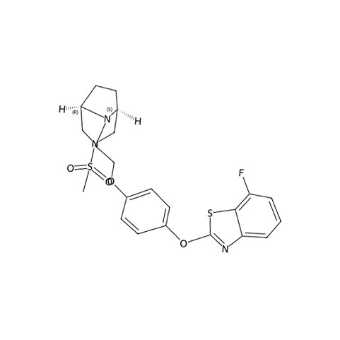 CS(=O)(=O)N1C[C@H]2CC[C@@H](C1)N2CCOc1ccc(Oc2nc3cccc(F)c3s2)cc1